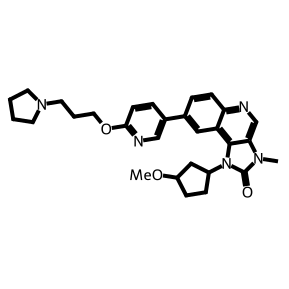 COC1CCC(n2c(=O)n(C)c3cnc4ccc(-c5ccc(OCCCN6CCCC6)nc5)cc4c32)C1